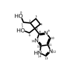 OCC1CCC1(CO)c1ncc2nc[nH]c2n1